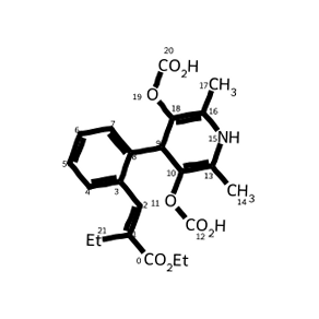 CCOC(=O)C(=Cc1ccccc1C1C(OC(=O)O)=C(C)NC(C)=C1OC(=O)O)CC